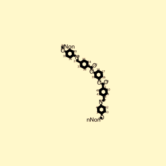 CCCCCCCCCOc1ccc(N=Cc2ccc(C(=O)Oc3cccc(OC(=O)c4ccc(C=Nc5ccc(OCCCCCCCCC)cc5)cc4)c3)cc2)cc1